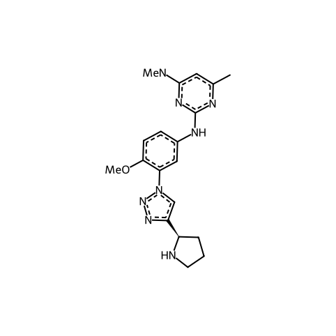 CNc1cc(C)nc(Nc2ccc(OC)c(-n3cc([C@H]4CCCN4)nn3)c2)n1